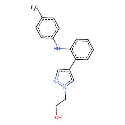 OCCn1cc(-c2ccccc2Nc2ccc(C(F)(F)F)cc2)cn1